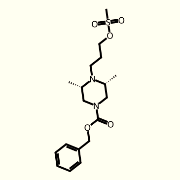 C[C@@H]1CN(C(=O)OCc2ccccc2)C[C@H](C)N1CCCOS(C)(=O)=O